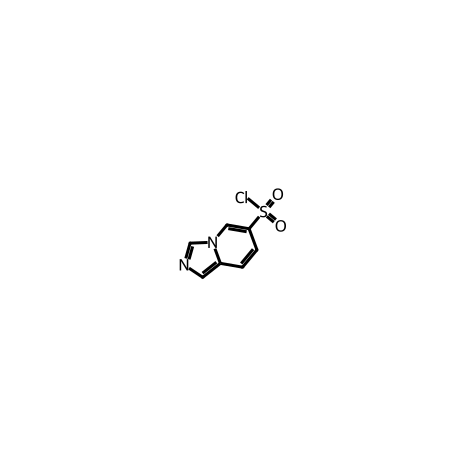 O=S(=O)(Cl)c1ccc2cncn2c1